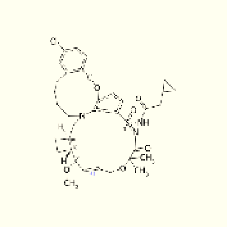 CO[C@H]1/C=C/COC(C)(C)C(=O)N=[S@@](=O)(NC(=O)CC2CC2)c2ccc3c(c2)N(CCCCc2cc(Cl)ccc2CO3)C[C@@H]2CC[C@H]21